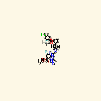 CCn1cncc1Cn1c(CN2C[C@@H]3C(c4cccc5c4OC(C)(c4ccc(Cl)cc4F)O5)[C@@H]3C2)nc2c(F)cc(C(=O)OC)cc21